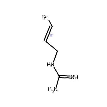 CC(C)/C=C/CNC(=N)N